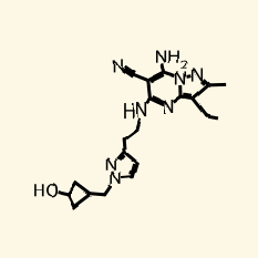 CCc1c(C)nn2c(N)c(C#N)c(NCCc3ccn(CC4CC(O)C4)n3)nc12